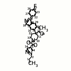 CCCn1cc(S(=O)(=O)N2CCC(C=O)(c3cc4cnn(-c5ccc(F)cc5)c4cc3C)CC2)cn1